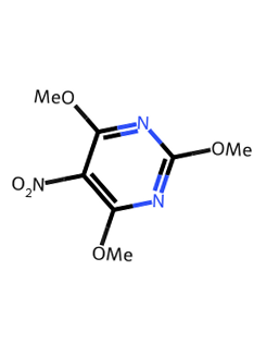 COc1nc(OC)c([N+](=O)[O-])c(OC)n1